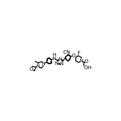 CC1CN(c2ccc(Nc3ncnc(-c4ccc(O[C@H]5CCN(C(=O)CO)C[C@H]5F)c(C#N)c4)n3)cc2)CCN1C1COC1